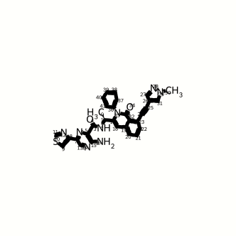 C[C@@H](NC(=O)c1nc(-c2cscn2)cnc1N)c1cc2cccc(C#Cc3cnn(C)c3)c2c(=O)n1-c1ccccc1